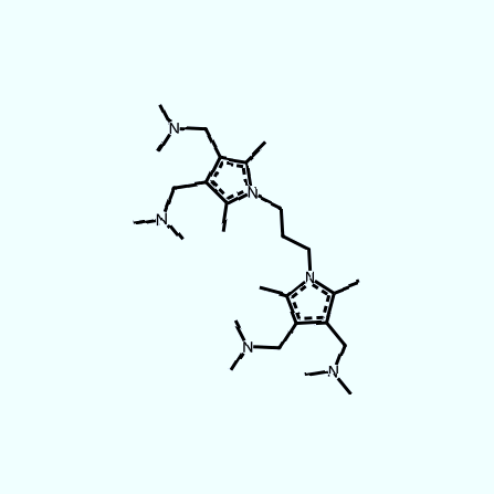 Cc1c(CN(C)C)c(CN(C)C)c(C)n1CCCn1c(C)c(CN(C)C)c(CN(C)C)c1C